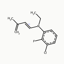 C=C(C)/C=C/N(CC)c1cccc(Cl)c1F